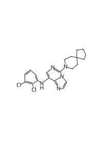 Clc1cccc(Nc2cnc(N3CCC4(CCCC4)CC3)n3ccnc23)c1Cl